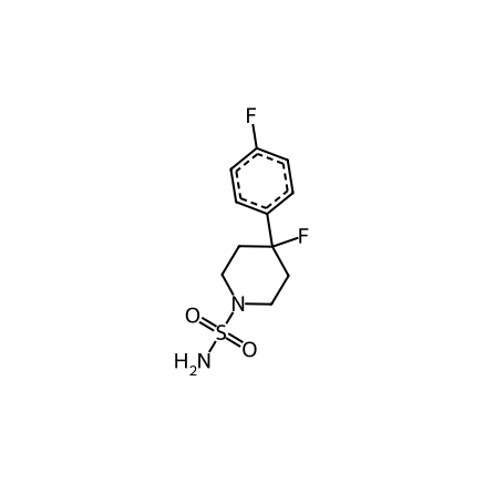 NS(=O)(=O)N1CCC(F)(c2ccc(F)cc2)CC1